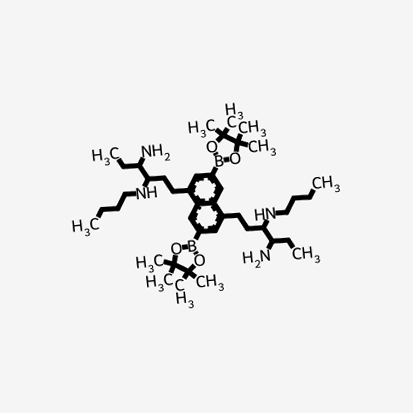 CCCCNC(CCc1cc(B2OC(C)(C)C(C)(C)O2)cc2c(CCC(NCCCC)C(N)CC)cc(B3OC(C)(C)C(C)(C)O3)cc12)C(N)CC